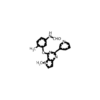 Cc1ccc(NC=O)cc1Oc1nc(-c2cccnc2)nc2ccn(C)c12